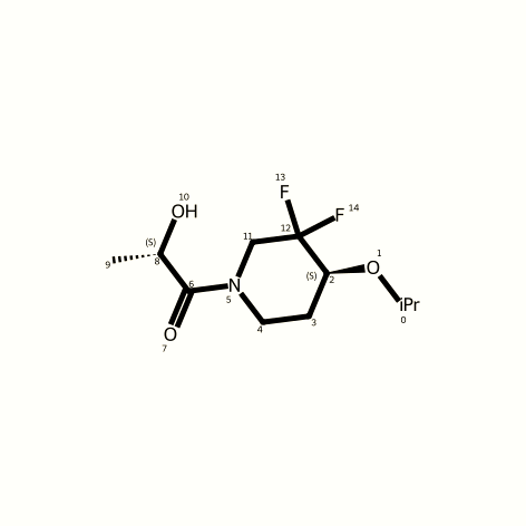 CC(C)O[C@H]1CCN(C(=O)[C@H](C)O)CC1(F)F